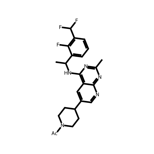 CC(=O)N1CCC(c2cnc3nc(C)nc(NC(C)c4cccc(C(F)F)c4F)c3c2)CC1